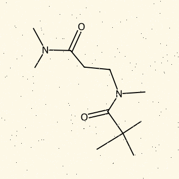 CN(C)C(=O)CCN(C)C(=O)C(C)(C)C